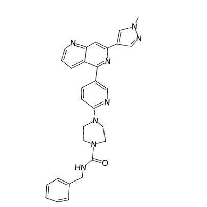 Cn1cc(-c2cc3ncccc3c(-c3ccc(N4CCN(C(=O)NCc5ccccc5)CC4)nc3)n2)cn1